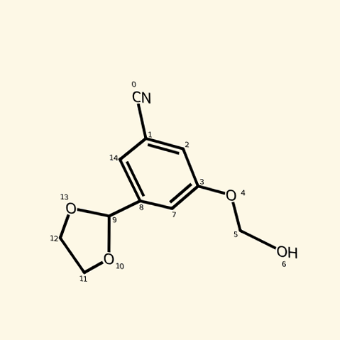 N#Cc1cc(OCO)cc(C2OCCO2)c1